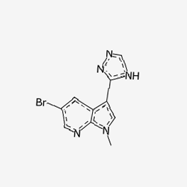 Cn1cc(-c2nnc[nH]2)c2cc(Br)cnc21